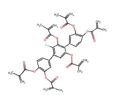 C=C(C)C(=O)Oc1ccc(-c2cc(OC(=O)C(=C)C)c(-c3ccc(OC(=O)C(=C)C)c(OC(=O)C(=C)C)c3)c(OC(=O)C(=C)C)c2F)cc1OC(=O)C(=C)C